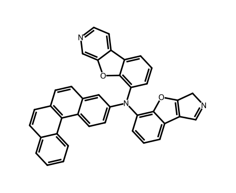 C1=NCc2oc3c(N(c4ccc5c(ccc6ccc7ccccc7c65)c4)c4cccc5c4oc4cnccc45)cccc3c21